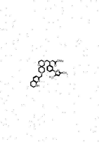 COC(=O)C[C@H](CN1CCOC2(CCN(Cc3ccc4c(n3)NCCC4)CC2)C1)c1cccc(-n2nc(C)cc2C)c1